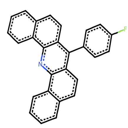 Fc1ccc(-c2c3ccc4ccccc4c3nc3c2ccc2ccccc23)cc1